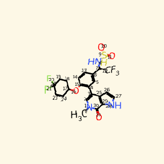 Cn1cc(-c2cc(C(N[SH](=O)=O)C(F)(F)F)ccc2OC2CCC(F)(F)CC2)c2cc[nH]c2c1=O